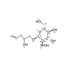 C=CCC(O)CO[C@H]1O[C@H](CO)[C@@H](O)[C@H](O)[C@H]1NC(C)=O